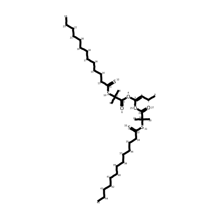 CCC=C(OC(=O)C(C)(C)SC(=S)CCCCCCCCCCCC)OC(=O)C(C)(C)SC(=S)CCCCCCCCCCCC